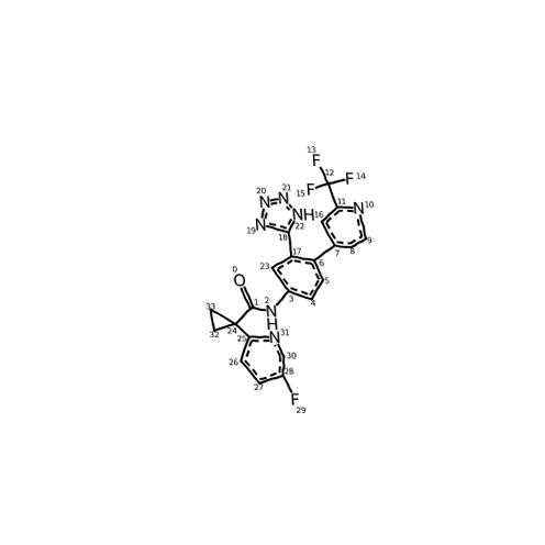 O=C(Nc1ccc(-c2ccnc(C(F)(F)F)c2)c(-c2nnn[nH]2)c1)C1(c2ccc(F)cn2)CC1